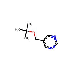 CC(C)(C)OCc1cncnc1